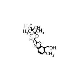 Cc1ccc2nc(CO[Si](C)(C)C(C)(C)C)sc2c1CO